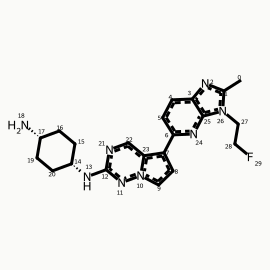 Cc1nc2ccc(-c3ccn4nc(N[C@H]5CC[C@@H](N)CC5)ncc34)nc2n1CCF